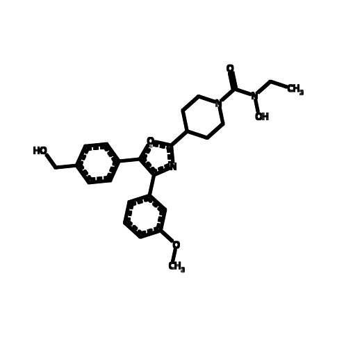 CCN(O)C(=O)N1CCC(c2nc(-c3cccc(OC)c3)c(-c3ccc(CO)cc3)o2)CC1